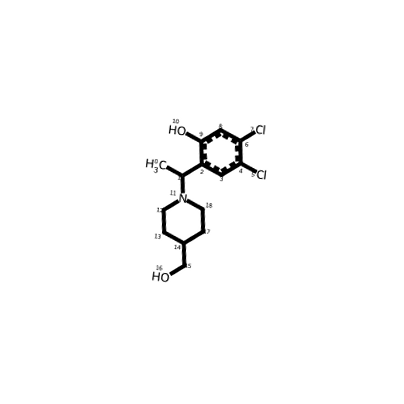 CC(c1cc(Cl)c(Cl)cc1O)N1CCC(CO)CC1